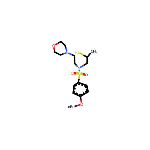 CCCCOc1ccc(S(=O)(=O)N(CCN2CCOCC2)CC(C)S)cc1